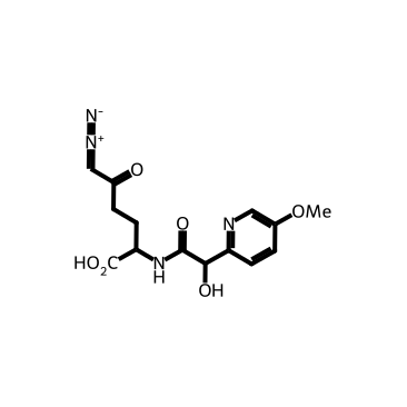 COc1ccc(C(O)C(=O)NC(CCC(=O)C=[N+]=[N-])C(=O)O)nc1